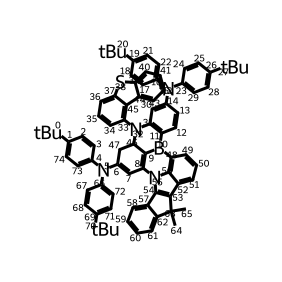 CC(C)(C)c1ccc(N(C2=CC3=C4B(c5ccc(N(c6ccc(C(C)(C)C)cc6)c6ccc(C(C)(C)C)cc6)cc5N(c5cccc6sc7ccccc7c56)C4C2)c2cccc4c5c(n3c24)-c2ccccc2C5(C)C)c2ccc(C(C)(C)C)cc2)cc1